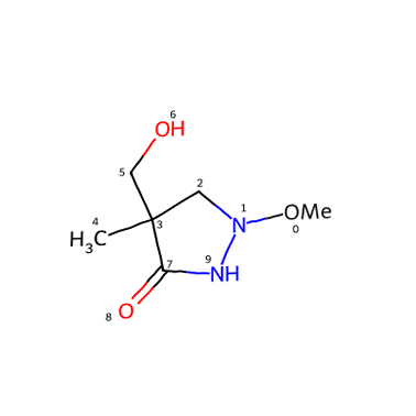 CON1CC(C)(CO)C(=O)N1